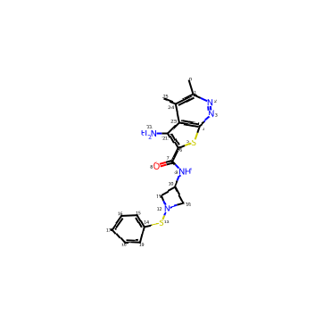 Cc1nnc2sc(C(=O)NC3CN(Sc4ccccc4)C3)c(N)c2c1C